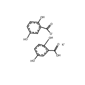 O=C(O)c1cc(O)ccc1O.O=C([O-])c1cc(O)ccc1O.[K+]